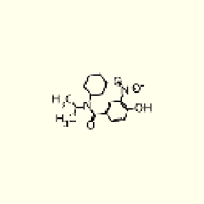 CC(C)N(C(=O)c1ccc(O)c([N+](=O)[O-])c1)C1CCCCC1